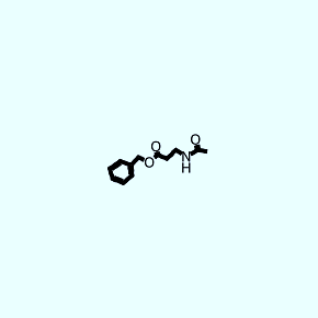 CC(=O)NCCC(=O)OCc1ccccc1